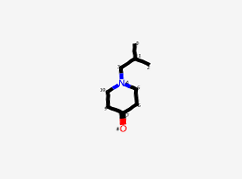 CC(C)CN1CCC(=O)CC1